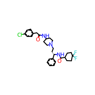 O=C(Cc1ccc(Cl)cc1)NC1CCN(CC[C@H](NC(=O)C2CCC(F)(F)CC2)c2ccccc2)CC1